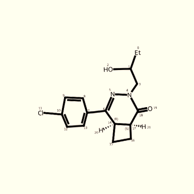 CCC(O)CN1N=C(c2ccc(Cl)cc2)[C@@H]2CC[C@@H]2C1=O